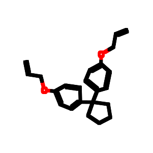 C=CCOc1ccc(C2(c3ccc(OCC=C)cc3)CCCC2)cc1